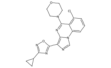 Clc1cccc2c1c(N1CCOCC1)nc1c(-c3nc(C4CC4)no3)ncn12